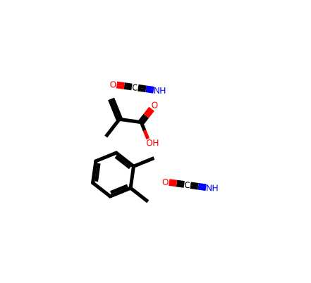 C=C(C)C(=O)O.Cc1ccccc1C.N=C=O.N=C=O